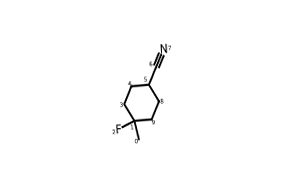 CC1(F)CCC(C#N)CC1